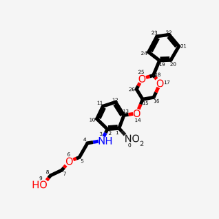 O=[N+]([O-])c1c(NCCOCCO)cccc1OC1COC(c2ccccc2)OC1